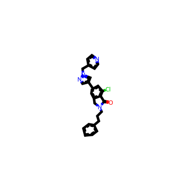 O=C1c2c(Cl)cc(-c3cnn(Cc4ccncc4)c3)cc2CN1CCCc1ccccc1